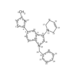 Cc1csc(-c2ccc3c(c2)c(N2CC=CCC2)cn3Cc2ccccc2)n1